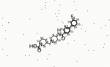 O=C(NC1CCN(CC2CCCN(C(=O)O)C2)CC1)c1ccc(-c2cccc(F)c2)nc1